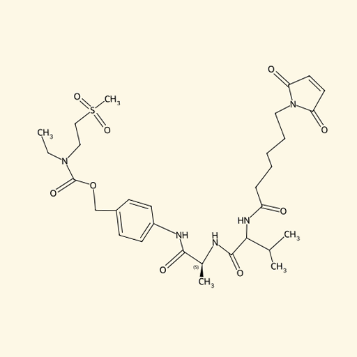 CCN(CCS(C)(=O)=O)C(=O)OCc1ccc(NC(=O)[C@H](C)NC(=O)C(NC(=O)CCCCCN2C(=O)C=CC2=O)C(C)C)cc1